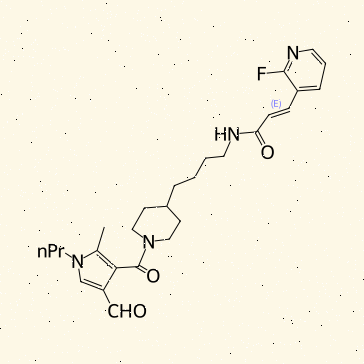 CCCn1cc(C=O)c(C(=O)N2CCC(CCCCNC(=O)/C=C/c3cccnc3F)CC2)c1C